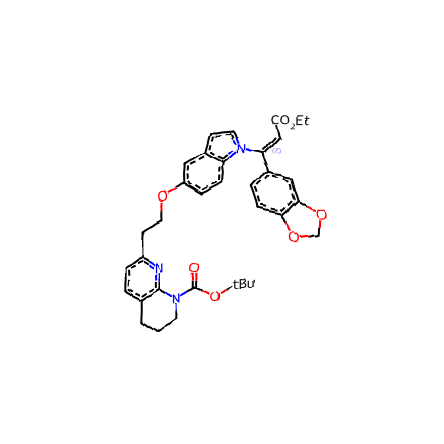 CCOC(=O)/C=C(/c1ccc2c(c1)OCO2)n1ccc2cc(OCCc3ccc4c(n3)N(C(=O)OC(C)(C)C)CCC4)ccc21